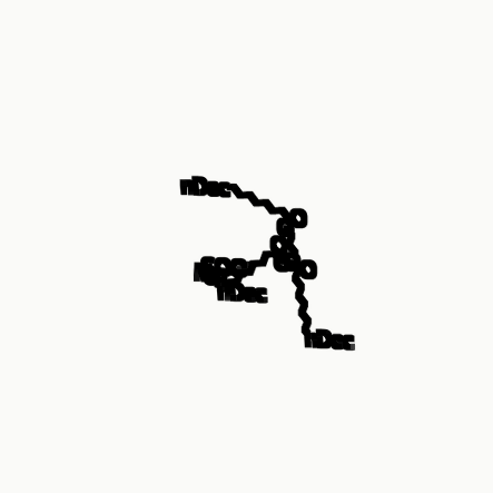 CCCCCCCCCCCCCCCCCC(=O)OCC(COC(=O)CCCCCCCCCCCCCCCCC)OC(=O)CCCCCCCCCCCCCCCCC.O=C([O-])[O-].[Mg+2]